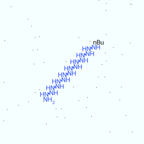 CCCCNNNNNNNNNNNNNNNNN